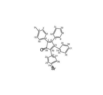 Cc1ccc(C2=C(c3ccccc3)C(c3ccccc3)=C(c3ccc(Br)cc3)C2=O)cc1